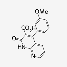 COc1cccc(-c2c(C(=O)O)c(=O)[nH]c3ncccc23)c1